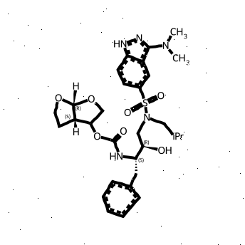 CC(C)CN(C[C@@H](O)[C@H](Cc1ccccc1)NC(=O)OC1CO[C@H]2OCC[C@@H]12)S(=O)(=O)c1ccc2[nH]nc(N(C)C)c2c1